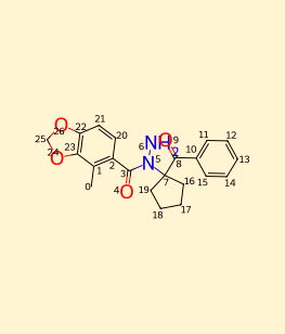 Cc1c(C(=O)N(N)C2(C(=O)c3ccccc3)CCCC2)ccc2c1OCO2